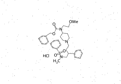 COCCN(C(=O)OCc1ccccc1)C1CCN(CCC(CN(C)S(=O)(=O)c2ccccc2)c2ccccc2)CC1.Cl